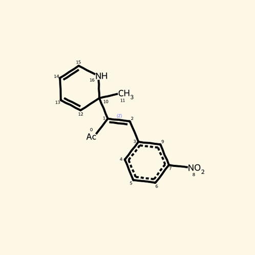 CC(=O)/C(=C\c1cccc([N+](=O)[O-])c1)C1(C)C=CC=CN1